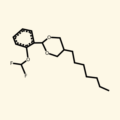 CCCCCCCC1COC(c2ccccc2OC(F)F)OC1